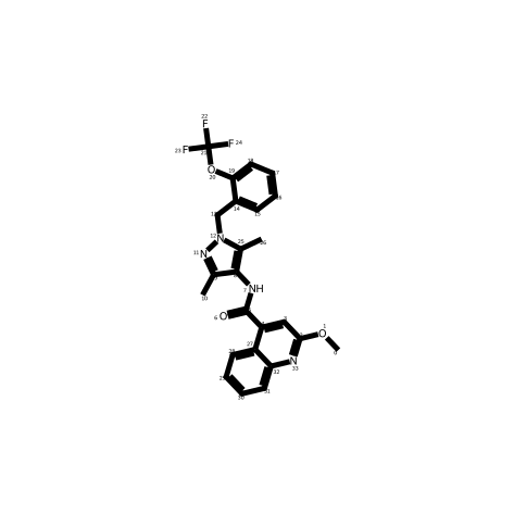 COc1cc(C(=O)Nc2c(C)nn(Cc3ccccc3OC(F)(F)F)c2C)c2ccccc2n1